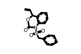 C=CC1OC(=O)N(S(=O)(=O)Cc2ccccc2)c2ccccc21